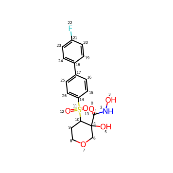 O=C(NO)C1(O)COCCC1S(=O)(=O)c1ccc(-c2ccc(F)cc2)cc1